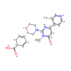 Cn1c(N2CCO[C@@H](C3=CCC(C(=O)O)C=C3)C2)nc(-c2ccncc2F)cc1=O